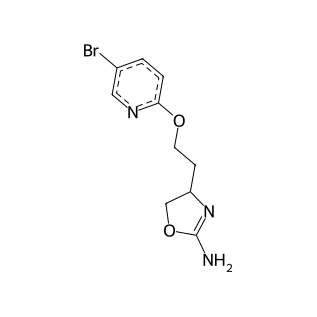 NC1=NC(CCOc2ccc(Br)cn2)CO1